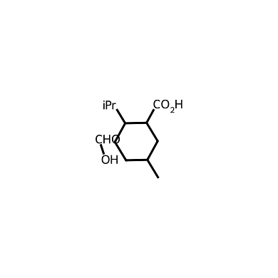 CC1CCC(C(C)C)C(C(=O)O)C1.O=CO